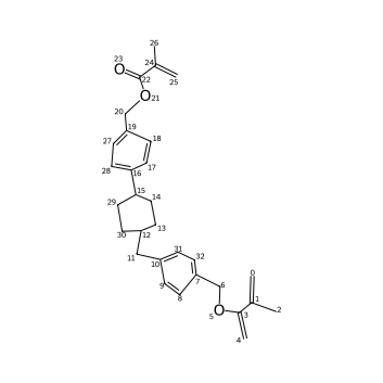 C=C(C)C(=C)OCc1ccc(CC2CCC(c3ccc(COC(=O)C(=C)C)cc3)CC2)cc1